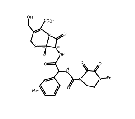 CCN1CCN(C(=O)NC(C(=O)N[C@@H]2C(=O)N3C(C(=O)[O-])=C(CO)CS[C@@H]23)c2ccccc2)C(=O)C1=O.[Na+]